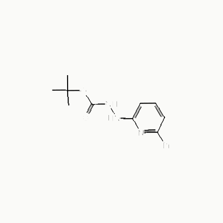 CC(C)(C)OC(=O)NNc1cccc(Br)n1